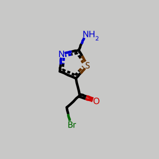 Nc1ncc(C(=O)CBr)s1